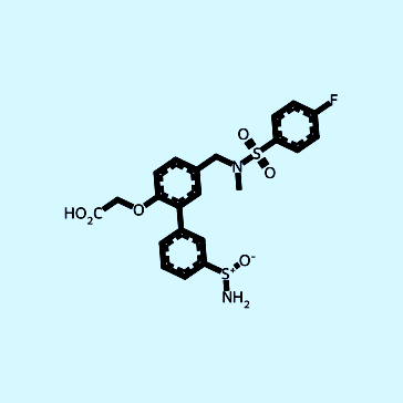 CN(Cc1ccc(OCC(=O)O)c(-c2cccc([S+](N)[O-])c2)c1)S(=O)(=O)c1ccc(F)cc1